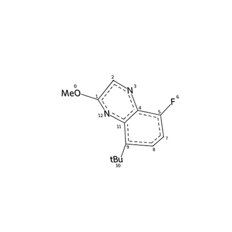 COc1cnc2c(F)ccc(C(C)(C)C)c2n1